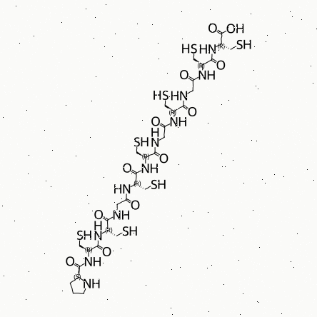 O=C(CNC(=O)[C@H](CS)NC(=O)[C@H](CS)NC(=O)CNC(=O)[C@H](CS)NC(=O)[C@H](CS)NC(=O)[C@@H]1CCCN1)N[C@@H](CS)C(=O)NCC(=O)N[C@@H](CS)C(=O)N[C@@H](CS)C(=O)O